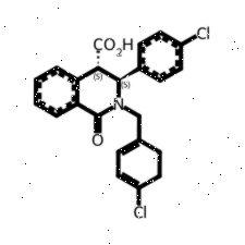 O=C(O)[C@H]1c2ccccc2C(=O)N(CC2=CC=C(Cl)CC2)[C@@H]1c1ccc(Cl)cc1